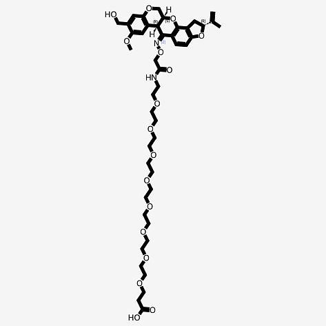 C=C(C)[C@H]1Cc2c(ccc3c2O[C@@H]2COc4cc(CO)c(OC)cc4[C@@H]2/C3=N/OCC(=O)NCCOCCOCCOCCOCCOCCOCCOCCOCCC(=O)O)O1